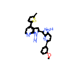 COc1cccc(-c2ccc3[nH]nc(-c4cc5c(-c6ccc(C)s6)ccnc5[nH]4)c3n2)c1